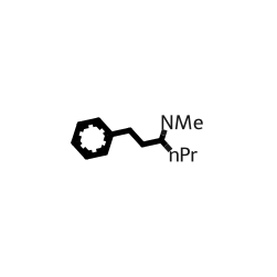 CCCC(CCc1ccccc1)NC